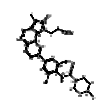 COCCn1c(=O)n(C)c2cnc3ccc(-c4cc(F)c(NC(=O)N5CCN(C)CC5)c(F)c4)cc3c21